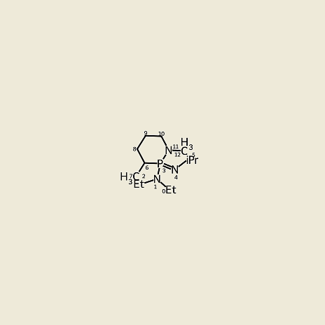 CCN(CC)P1(=NC(C)C)C(C)CCCN1C